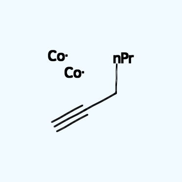 C#CCCCC.[Co].[Co]